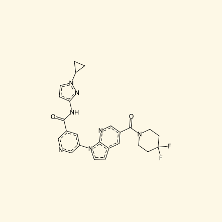 O=C(Nc1ccn(C2CC2)n1)c1cncc(-n2ccc3cc(C(=O)N4CCC(F)(F)CC4)cnc32)c1